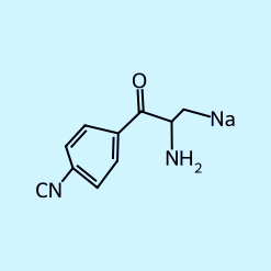 [C-]#[N+]c1ccc(C(=O)C(N)[CH2][Na])cc1